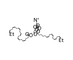 CC/C=C\C/C=C\C/C=C\C/C=C\C/C=C\C/C=C\CCC(=O)OC[C@H](COP(=O)([O-])OCC[N+](C)(C)C)OC(=O)CCCC/C=C\C/C=C\C/C=C\C/C=C\CC